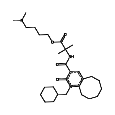 CN(C)CCCCOC(=O)C(C)(C)NC(=O)c1cc2c(n(CC3CCCCC3)c1=O)CCCCCC2